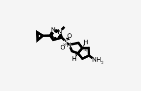 Cn1nc(C2CC2)cc1S(=O)(=O)N1C[C@H]2CC(N)C[C@H]2C1